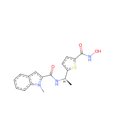 C[C@@H](NC(=O)c1cc2ccccc2n1C)c1ccc(C(=O)NO)s1